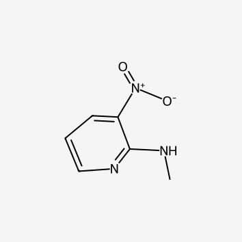 CNc1ncccc1[N+](=O)[O-]